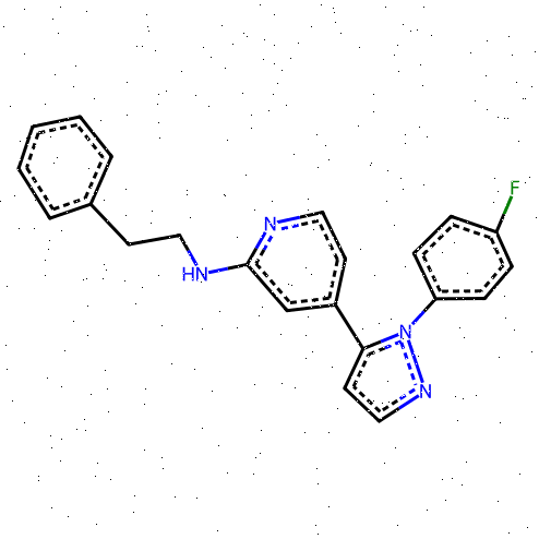 Fc1ccc(-n2nccc2-c2ccnc(NCCc3ccccc3)c2)cc1